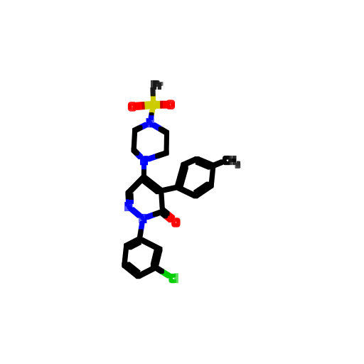 Cc1ccc(-c2c(N3CCN(S(=O)(=O)C(C)C)CC3)cnn(-c3cccc(Cl)c3)c2=O)cc1